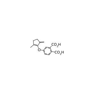 C=C1CCC(C)=C1Oc1ccc(C(=O)O)c(C(=O)O)c1